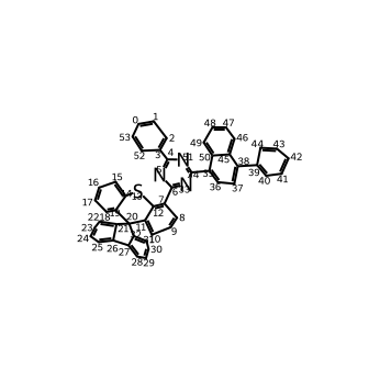 c1ccc(-c2nc(-c3cccc4c3Sc3ccccc3C43c4ccccc4-c4ccccc43)nc(-c3ccc(-c4ccccc4)c4ccccc34)n2)cc1